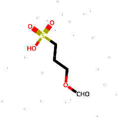 O=COCCCS(=O)(=O)O